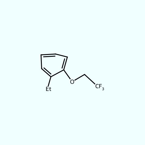 CCc1ccccc1OCC(F)(F)F